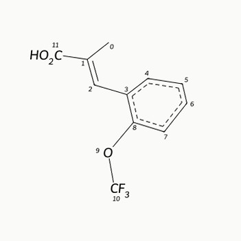 CC(=Cc1ccccc1OC(F)(F)F)C(=O)O